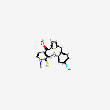 Cn1ccc(C(=O)c2ccc(Cc3ccc(F)cc3)s2)c(N=O)c1=S